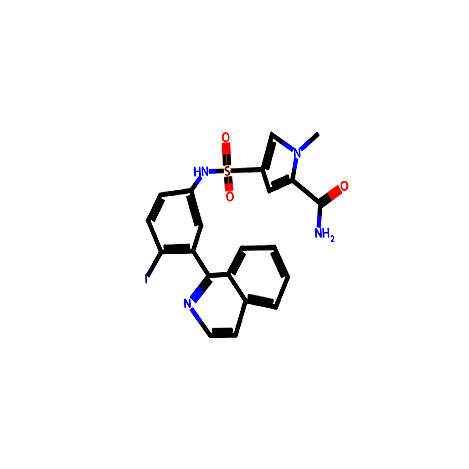 Cn1cc(S(=O)(=O)Nc2ccc(I)c(-c3nccc4ccccc34)c2)cc1C(N)=O